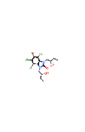 CCC(O)Cn1c(=O)n(CC(O)CC)c2c(Cl)c(Br)c(Cl)c(Cl)c21